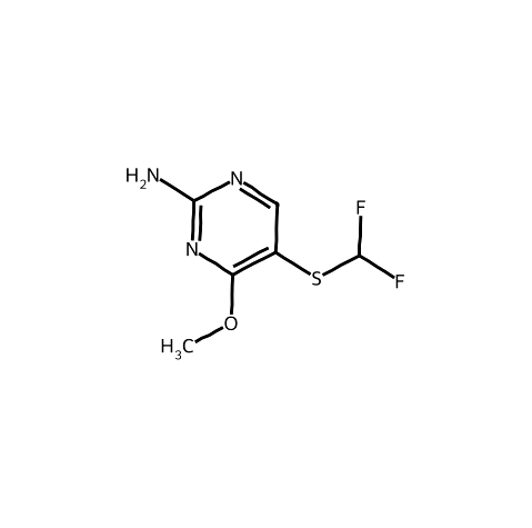 COc1nc(N)ncc1SC(F)F